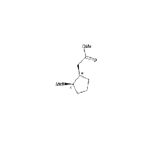 CN[C@@H]1CCC[C@@H]1CC(=O)OC